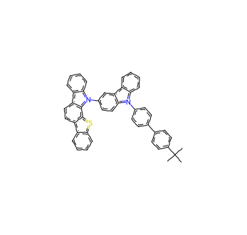 CC(C)(C)c1ccc(-c2ccc(-n3c4ccccc4c4cc(-n5c6ccccc6c6ccc7c8ccccc8sc7c65)ccc43)cc2)cc1